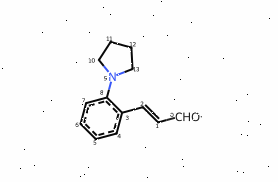 O=[C]/C=C/c1ccccc1N1CCCC1